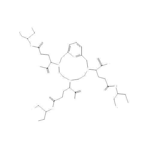 O=C(CCC(C(=O)O)N1CCN(C(CCC(=O)NC(CO)CO)C(=O)O)Cc2cccc(n2)CN(C(CCC(=O)NC(CO)CO)C(=O)O)CC1)NC(CO)CO